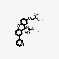 NC1=N[C@]2(CO1)c1cc(OC[C@@H](O)C(F)(F)F)ccc1Oc1ccc(-c3cccnc3)cc12